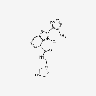 CCn1c(-c2nonc2N)nc2cncc(C(=O)NC[C@H]3CCNC3)c21